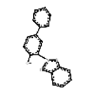 Oc1c[c]c(-c2ccccc2)cc1-n1nc2ccccc2n1